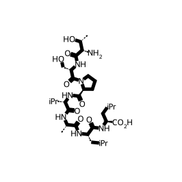 CC(C)C[C@H](NC(=O)[C@H](CC(C)C)NC(=O)[C@H](C)NC(=O)[C@@H](NC(=O)[C@@H]1CCCN1C(=O)[C@H](CO)NC(=O)[C@@H](N)[C@@H](C)O)C(C)C)C(=O)O